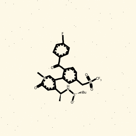 CCCC[S@+]([O-])N[C@@H](C)c1cc(=O)n(C)cc1-c1cc(CS(=O)(=O)C(F)(F)F)ccc1C(=O)c1ccc(F)cc1